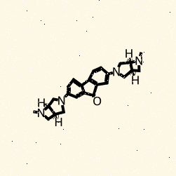 CN1C[C@@H]2CN(c3ccc4c(c3)C(=O)c3cc(N5C[C@H]6CN(C)[C@H]6C5)ccc3-4)C[C@@H]21